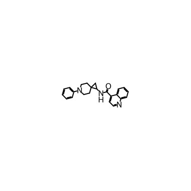 O=C(NC1CC12CCN(c1ccccc1)CC2)c1ccnc2ccccc12